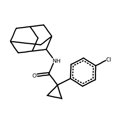 O=C(NC1C2CC3CC(C2)CC1C3)C1(c2ccc(Cl)cc2)CC1